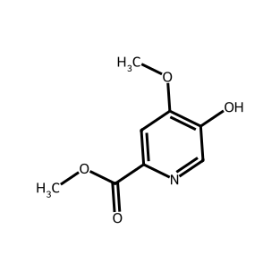 COC(=O)c1cc(OC)c(O)cn1